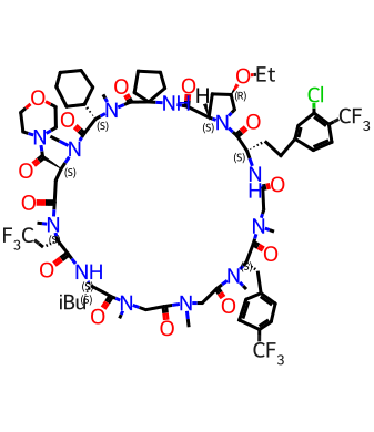 CCO[C@@H]1C[C@H]2C(=O)NC3(CCCC3)C(=O)N(C)[C@@H](C3CCCCC3)C(=O)N(C)[C@H](C(=O)N3CCOCC3)CC(=O)N(C)[C@@H](CC(F)(F)F)C(=O)N[C@@H]([C@@H](C)CC)C(=O)N(C)CC(=O)N(C)CC(=O)N(C)[C@@H](Cc3ccc(C(F)(F)F)cc3)C(=O)N(C)CC(=O)N[C@@H](CCc3ccc(C(F)(F)F)c(Cl)c3)C(=O)N2C1